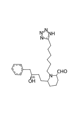 O=CC1CCCC(CC[C@@H](O)Cc2ccccc2)N1CCCCCCc1nnn[nH]1